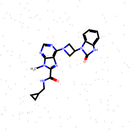 Cn1c(C(=O)NCC2CC2)nc2c(N3CC(n4c(=O)[nH]c5ccccc54)C3)ncnc21